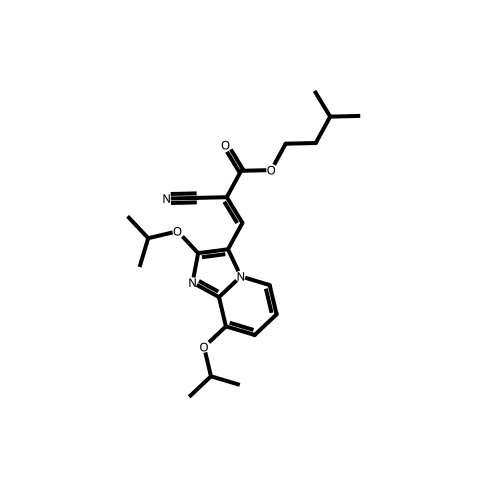 CC(C)CCOC(=O)/C(C#N)=C/c1c(OC(C)C)nc2c(OC(C)C)cccn12